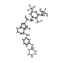 COc1c(NC(=O)c2cc3cccc(Oc4ccnc(CN5CCOCC5)c4)c3n2C)cc(C(C)(C)C)cc1NS(C)(=O)=O